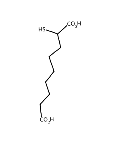 O=C(O)CCCCCCC(S)C(=O)O